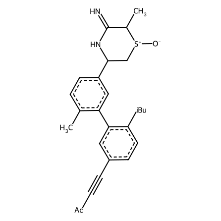 CCC(C)c1ccc(C#CC(C)=O)cc1-c1cc(C2C[S+]([O-])C(C)C(=N)N2)ccc1C